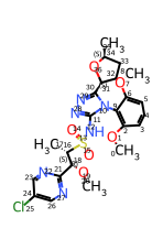 COc1cccc(OC)c1-n1c(NS(=O)(=O)[C@@H](C)[C@H](OC)c2ncc(Cl)cn2)nnc1[C@@H]1CC[C@H](C)O1